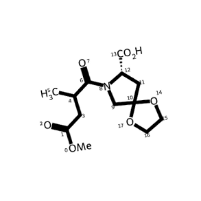 COC(=O)CC(C)C(=O)N1CC2(C[C@H]1C(=O)O)OCCO2